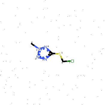 Cn1nnc(SCCl)n1